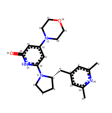 Cc1cc(C[C@@H]2CCCN2c2cc(N3CCOCC3)cc(=O)[nH]2)cc(C)n1